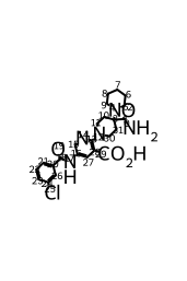 NC(=O)C1(N2CCCCC2)CCN(c2ncc(NC(=O)c3cccc(Cl)c3)cc2C(=O)O)CC1